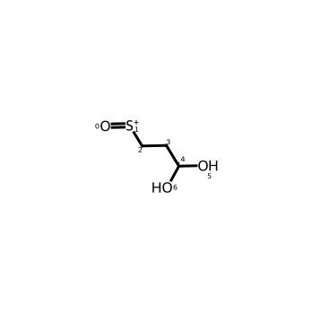 O=[S+]CC[C](O)O